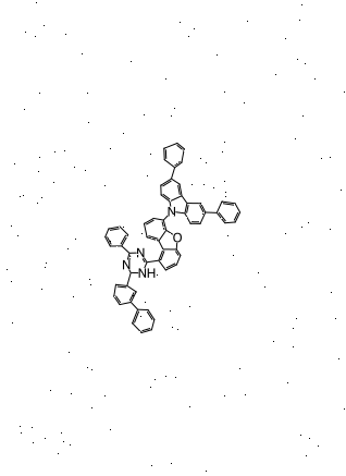 c1ccc(C2=NC(c3cccc(-c4ccccc4)c3)NC(c3cccc4oc5c(-n6c7ccc(-c8ccccc8)cc7c7cc(-c8ccccc8)ccc76)cccc5c34)=N2)cc1